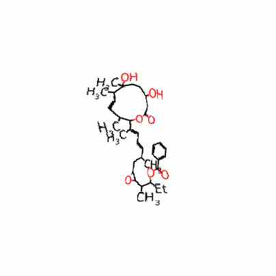 CCC(OC(=O)c1ccccc1)C(C)C1OC1CC(C)/C=C/C=C(\C)C1OC(=O)CC(O)CCC(C)(O)C(C)/C=C/C1C